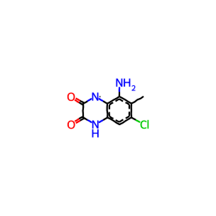 Cc1c(Cl)cc2c(c1N)[N]C(=O)C(=O)N2